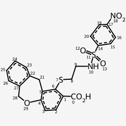 O=C(O)c1ccc2c(c1SCCNS(=O)(=O)c1ccc([N+](=O)[O-])cc1)Cc1ccccc1CO2